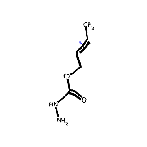 NNC(=O)OC/C=C/C(F)(F)F